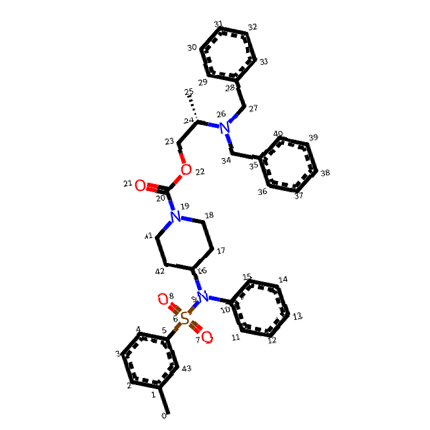 Cc1cccc(S(=O)(=O)N(c2ccccc2)C2CCN(C(=O)OC[C@H](C)N(Cc3ccccc3)Cc3ccccc3)CC2)c1